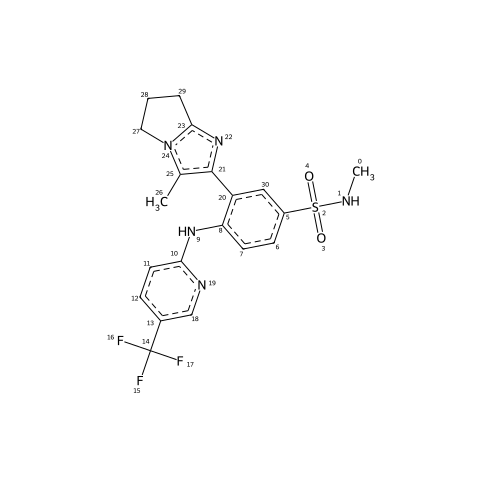 CNS(=O)(=O)c1ccc(Nc2ccc(C(F)(F)F)cn2)c(-c2nc3n(c2C)CCC3)c1